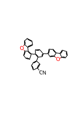 N#Cc1cccc(-c2cc(-c3ccc4c(c3)oc3ccccc34)ccc2-c2cccc3oc4ccccc4c23)c1